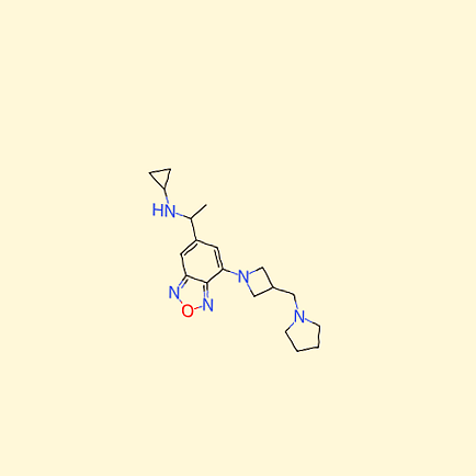 CC(NC1CC1)c1cc(N2CC(CN3CCCC3)C2)c2nonc2c1